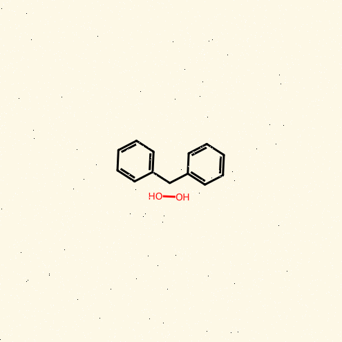 OO.c1ccc(Cc2ccccc2)cc1